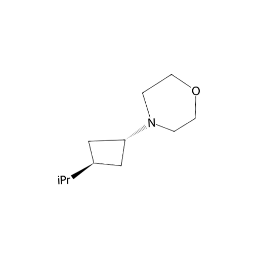 CC(C)[C@H]1C[C@H](N2CCOCC2)C1